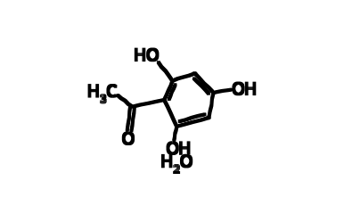 CC(=O)c1c(O)cc(O)cc1O.O